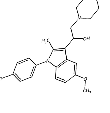 COc1ccc2c(c1)c(C(O)CN1CCCCC1)c(C)n2-c1ccc(Cl)cc1